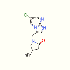 CCCC1CC(=O)N(Cc2cnc3ncc(Cl)cn23)C1